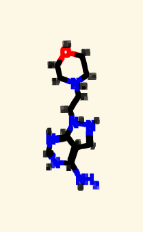 Nc1ncnc2c1cnn2CCN1CCOCC1